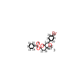 O=C(CC1OC(OC(=O)c2ccccc2)CCC1C(F)(F)F)c1ccc(Br)cc1